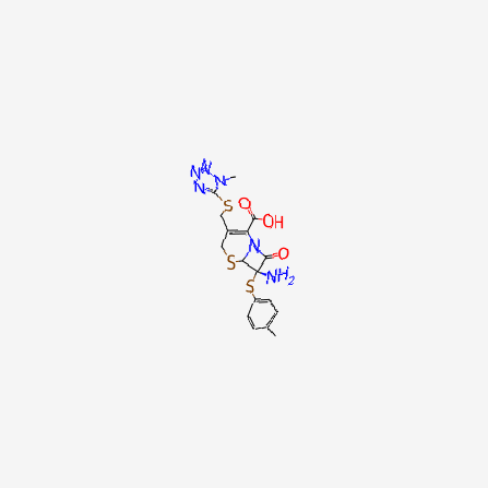 Cc1ccc(S[C@@]2(N)C(=O)N3C(C(=O)O)=C(CSc4nnnn4C)CSC32)cc1